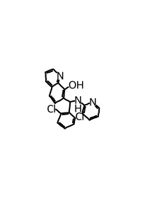 Oc1c(C(Nc2ccccn2)c2c(Cl)cccc2Cl)ccc2cccnc12